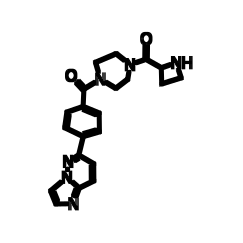 O=C(c1ccc(-c2ccc3nccn3n2)cc1)N1CCN(C(=O)C2CCN2)CC1